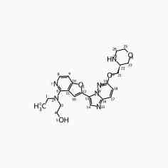 CCN(CCO)c1nccc2oc(-c3cnc4ccc(OC[C@@H]5COCCN5)nn34)cc12